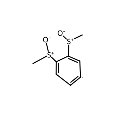 C[S+]([O-])c1c[c]ccc1[S+](C)[O-]